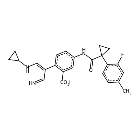 Cc1ccc(C2(C(=O)Nc3ccc(/C(C=N)=C/NC4CC4)c(C(=O)O)c3)CC2)c(F)c1